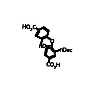 CCCCCCCCCCc1cc(C(=O)O)ccc1Oc1ccc(C(=O)O)cc1CCCCCCCCCC